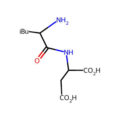 CCC(C)C(N)C(=O)NC(CC(=O)O)C(=O)O